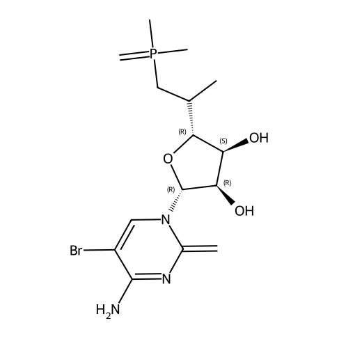 C=C1N=C(N)C(Br)=CN1[C@@H]1O[C@H](C(C)CP(=C)(C)C)[C@@H](O)[C@H]1O